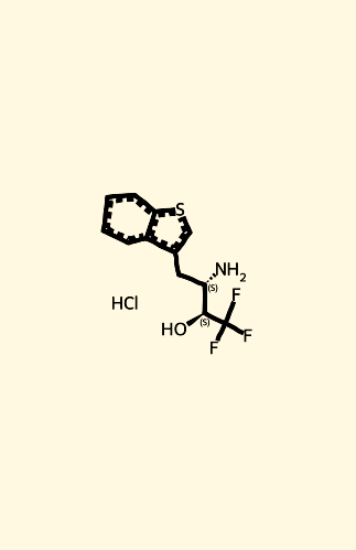 Cl.N[C@@H](Cc1csc2ccccc12)[C@H](O)C(F)(F)F